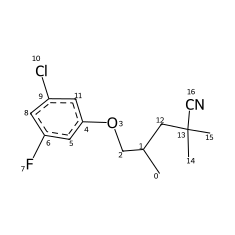 CC(COc1cc(F)cc(Cl)c1)CC(C)(C)C#N